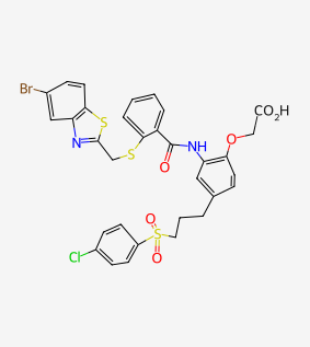 O=C(O)COc1ccc(CCCS(=O)(=O)c2ccc(Cl)cc2)cc1NC(=O)c1ccccc1SCc1nc2cc(Br)ccc2s1